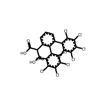 O=C(O)C(C(=O)O)c1cccc(-c2c(Cl)c(Cl)c(Cl)c(Cl)c2Cl)c1-c1c(Cl)c(Cl)c(Cl)c(Cl)c1Cl